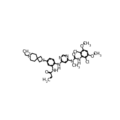 C=CC(=O)Nc1cc(N2CC3(CCN(CC)CC3)C2)ccc1Nc1cc(N(C)C(=O)Nc2c(Cl)c(OC)cc(OC)c2Cl)ncn1